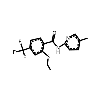 CCSc1cc(C(F)(F)F)ccc1C(=O)Nc1ccc(C)cn1